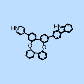 C1=CC2Oc3cc(C4=CCNC=C4)ccc3-c3ccc(-c4ccc5c(c4)[nH]c4ccccc45)cc3Oc3ccccc3C2C=C1